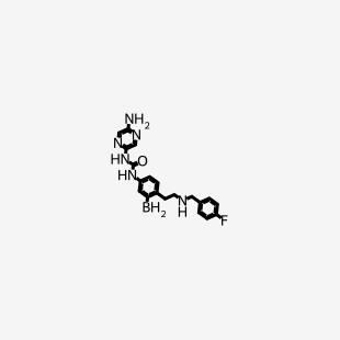 Bc1cc(NC(=O)Nc2cnc(N)cn2)ccc1CCNCc1ccc(F)cc1